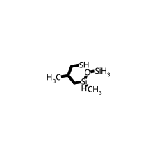 CC(CS)C[SiH](C)O[SiH3]